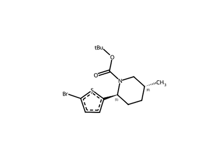 C[C@@H]1CC[C@@H](c2ccc(Br)s2)N(C(=O)OC(C)(C)C)C1